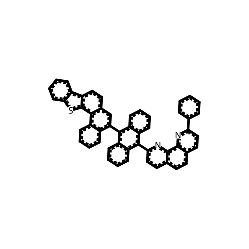 c1ccc(-c2ccc3ccc4ccc(-c5c6ccccc6c(-c6cc7ccc8c9ccccc9sc8c7c7ccccc67)c6ccccc56)nc4c3n2)cc1